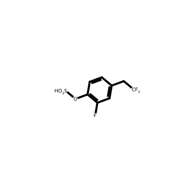 O=S(=O)(O)Oc1ccc(CC(F)(F)F)cc1F